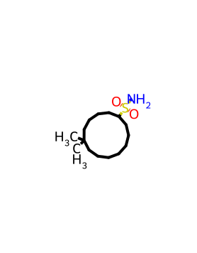 CC1(C)CCCCCCCC(S(N)(=O)=O)CCCC1